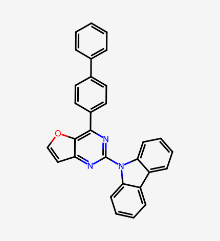 c1ccc(-c2ccc(-c3nc(-n4c5ccccc5c5ccccc54)nc4ccoc34)cc2)cc1